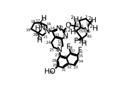 [2H]C1([2H])CC[C@@]2(C([2H])([2H])Oc3nc4c(c(N5C[C@H]6CC[C@@H](C5)N6)n3)CCN(c3cc(O)cc5ccc(F)c(F)c35)C4)C[C@@]([2H])(F)CN12